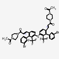 CC(=O)N1CCN(C(=O)/C=C/c2ccc(Sc3ccc(/C=C/C(=O)N4CCN(C(C)=O)CC4)c(-c4cccc(Br)c4)c3C(F)(F)F)c(C(F)(F)F)c2-c2cccc(Br)c2)CC1